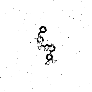 COc1ccc(-c2ccnc3cc(C(=O)N4CCN(Cc5ccccc5)[C@@H](C)C4)nn23)cc1OC